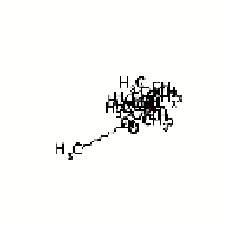 CCCCCCCCCCCCOC(=O)c1cc(C(C)(C)C)c(OP(F)Oc2c(C(C)(C)C)cc(C)cc2C(C)(C)C)c(C(C)(C)C)c1